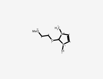 CCN1C=CN(C)C1OCCOC